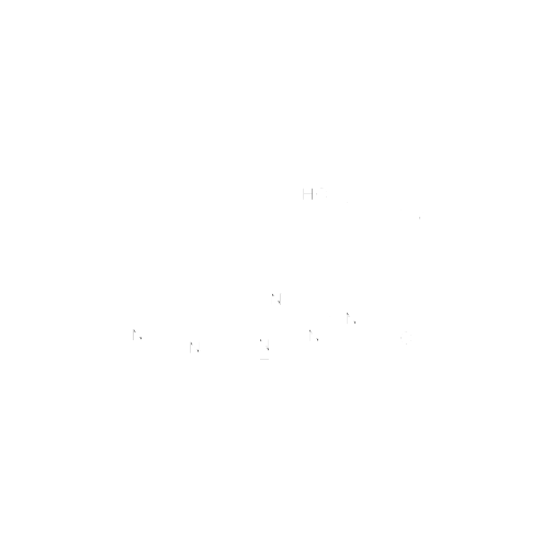 CN1CCN(CCNc2nc(N3CCOCC3)c3cc(-c4cc(Cl)ccc4O)ccc3n2)CC1